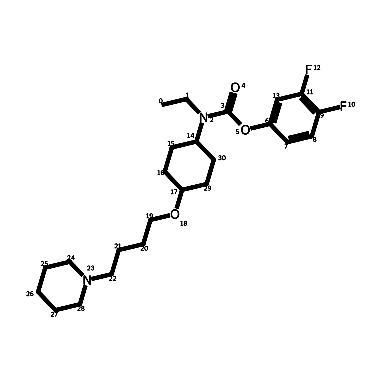 CCN(C(=O)Oc1ccc(F)c(F)c1)C1CCC(OCCCCN2CCCCC2)CC1